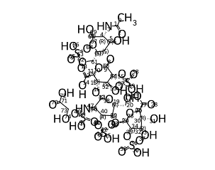 CC(=O)N[C@@H]1[C@@H](O)[C@H](O[C@@H]2O[C@H](C(=O)O)[C@@H](O[C@@H]3O[C@H](CO)[C@@H](O[C@H]4O[C@@H](C(=O)O)[C@H](O)[C@@H](O)[C@@H]4OS(=O)(=O)O)[C@H](OS(=O)(=O)O)[C@H]3NS(=O)(=O)O)[C@H](O)[C@H]2OS(=O)(=O)O)[C@H](COS(=O)(=O)O)O[C@H]1O.O=C(O)CO